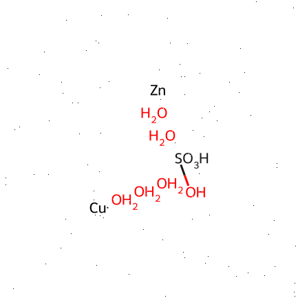 O.O.O.O.O.O=S(=O)(O)O.[Cu].[Zn]